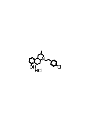 CC1CC2c3cccc(O)c3CCC2N(CCc2ccc(Cl)cc2)C1.Cl